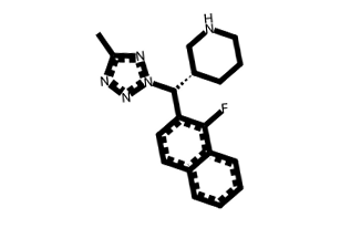 Cc1nnn(C(c2ccc3ccccc3c2F)[C@H]2CCCNC2)n1